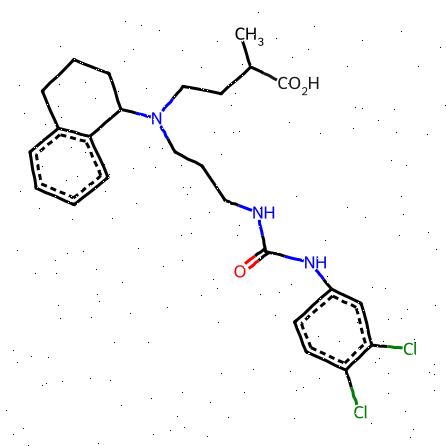 CC(CCN(CCCNC(=O)Nc1ccc(Cl)c(Cl)c1)C1CCCc2ccccc21)C(=O)O